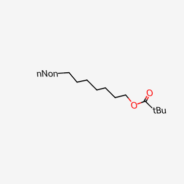 CCCCCCCCCCCCCCCCOC(=O)C(C)(C)C